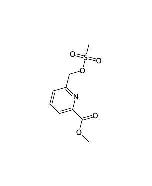 COC(=O)c1cccc(COS(C)(=O)=O)n1